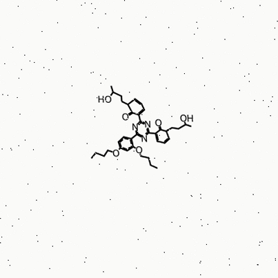 CCCCOc1ccc(-c2nc(C3=CC=CC(CCC(C)O)C3=O)nc(C3=CC=CC(CCC(C)O)C3=O)n2)c(OCCCC)c1